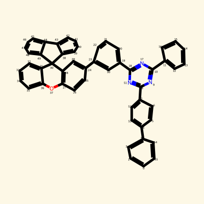 c1ccc(-c2ccc(-c3nc(-c4ccccc4)nc(-c4cccc(-c5ccc6c(c5)C5(c7ccccc7O6)c6ccccc6-c6ccccc65)c4)n3)cc2)cc1